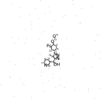 COCOc1ccc(-n2nnc(C(O)c3cccnc3)c2C)cc1F